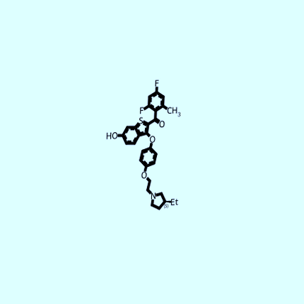 CC[C@H]1CCN(CCOc2ccc(Oc3c(C(=O)c4c(C)cc(F)cc4F)sc4cc(O)ccc34)cc2)C1